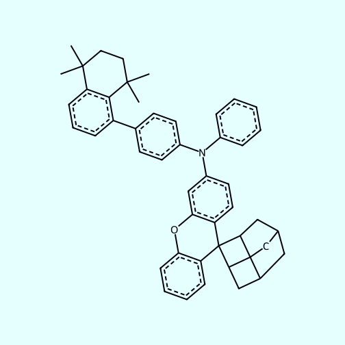 CC1(C)CCC(C)(C)c2c(-c3ccc(N(c4ccccc4)c4ccc5c(c4)Oc4ccccc4C54C5CC6CC7CC4C75C6)cc3)cccc21